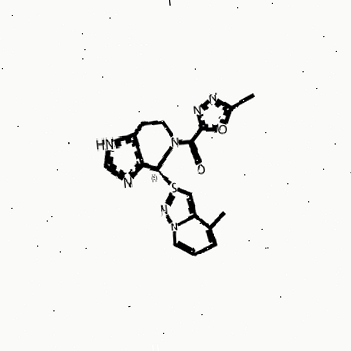 CC1=CC=CN2N=S([C@H]3c4nc[nH]c4CCN3C(=O)c3nnc(C)o3)C=C12